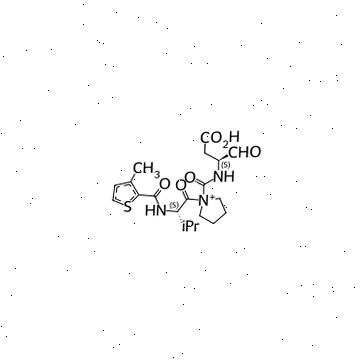 Cc1ccsc1C(=O)N[C@H](C(=O)[N+]1(C(=O)N[C@H](C=O)CC(=O)O)CCCC1)C(C)C